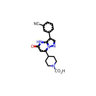 N#Cc1cccc(-c2cnn3c(C4CCN(C(=O)O)CC4)cc(=O)[nH]c23)c1